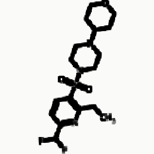 CCc1nc(C(F)F)ccc1S(=O)(=O)N1CCN(C2CCOCC2)CC1